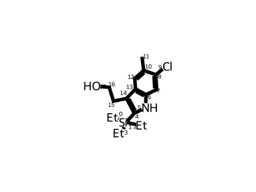 CC[Si](CC)(CC)c1[nH]c2cc(Cl)c(C)cc2c1CCO